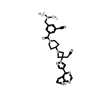 CN(C)Cc1cc(C#N)cc(C(=O)N2CCC(N3CC(CC#N)(n4cc(-c5ncnc6[nH]ccc56)cn4)C3)CC2)c1